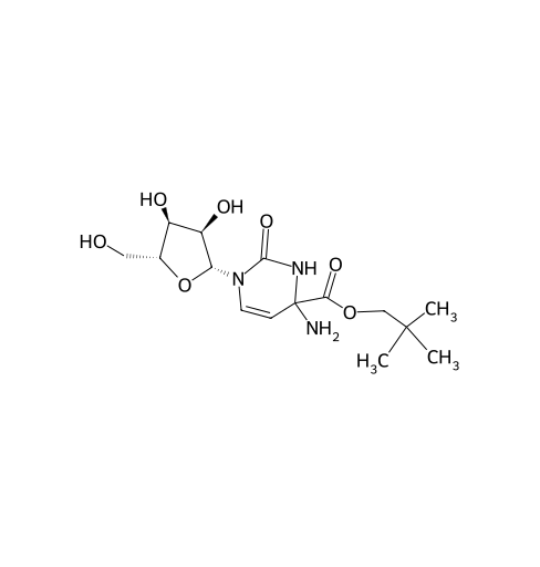 CC(C)(C)COC(=O)C1(N)C=CN([C@@H]2O[C@H](CO)[C@@H](O)[C@H]2O)C(=O)N1